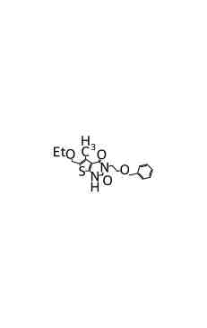 CCOCc1sc2[nH]c(=O)n(CCOCc3ccccc3)c(=O)c2c1C